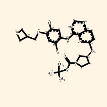 CC(C)(C)OC(=O)N1CC[C@H](Oc2ccc3ncnc(Nc4cc(Cl)c(OCC5COC5)cc4F)c3n2)C1